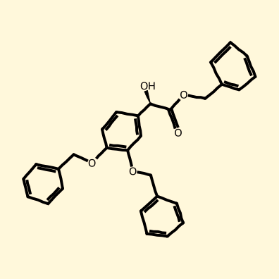 O=C(OCc1ccccc1)[C@H](O)c1ccc(OCc2ccccc2)c(OCc2ccccc2)c1